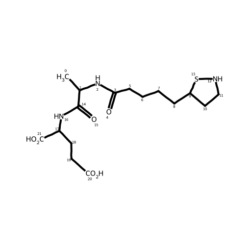 CC(NC(=O)CCCCC1CCNS1)C(=O)NC(CCC(=O)O)C(=O)O